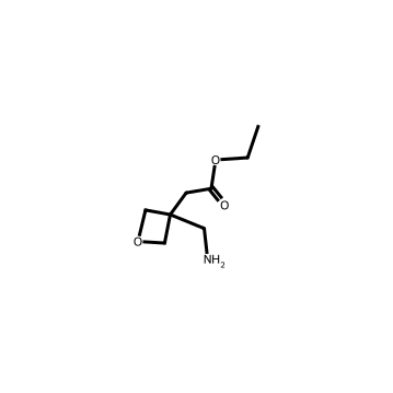 CCOC(=O)CC1(CN)COC1